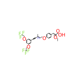 CCO[C@@H](Cc1ccc(OC/C=C(\C)C#Cc2cc(OCC(F)(F)F)cc(OCC(F)(F)F)c2)cc1)C(=O)O